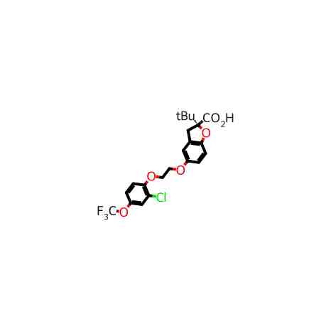 CC(C)(C)[C@@]1(C(=O)O)Cc2cc(OCCOc3ccc(OC(F)(F)F)cc3Cl)ccc2O1